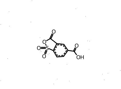 O=C(O)c1ccc2c(c1)C(=O)OS2(=O)=O